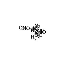 NC(=O)C1(C(Cc2ccccc2)NC(=O)c2cccnc2-n2cnc(-c3ccc(N4CCOCC4)cc3)c2)OCCO1